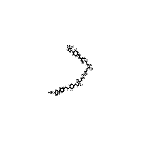 CN(CCc1ccc(/C=C/c2ccc(N3CCC(O)C3)cc2)cc1)C(=O)CCCSSCCCC(=O)N(C)CC[n+]1ccc(/C=C/c2ccc(N3CCC(O)C3)cc2)cc1